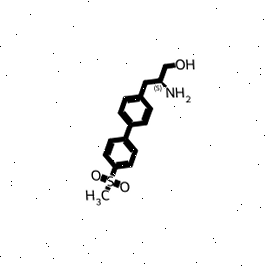 CS(=O)(=O)c1ccc(-c2ccc(C[C@H](N)CO)cc2)cc1